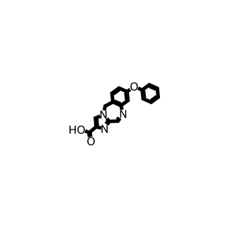 O=C(O)c1cn2c(n1)C=Nc1cc(Oc3ccccc3)ccc1C2